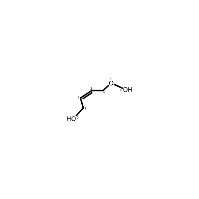 OC/C=C\COO